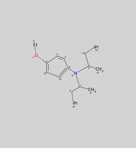 CCOc1ccc(N(C(C)CC(C)C)C(C)CC(C)C)cc1